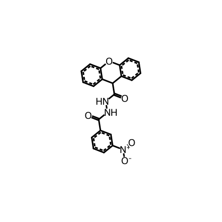 O=C(NNC(=O)C1c2ccccc2Oc2ccccc21)c1cccc([N+](=O)[O-])c1